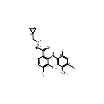 Cc1cc(Nc2c(C(=O)NOCC3CC3)ccc(F)c2F)c(Cl)cc1I